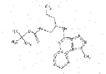 CCCC(CNC(=O)OC(C)(C)C)Nc1nc2ccccc2n2c(C)nnc12